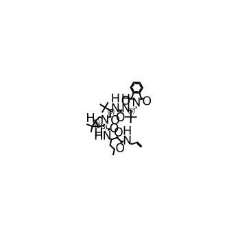 C=CCNC(=O)C(=O)C(CCC)NC(=O)[C@@H]1[C@@H]2[C@H](CN1C(=O)[C@@H](NC(=O)N[C@H](CN1C(=O)c3ccccc3C1=O)C(C)(C)C)C(C)(C)C)C2(C)C